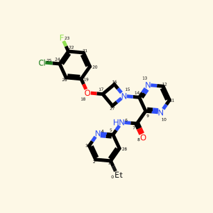 CCc1ccnc(NC(=O)c2nccnc2N2CC(Oc3ccc(F)c(Cl)c3)C2)c1